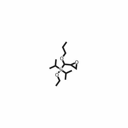 CCCOC(C1CO1)[Si](OCC)(C(C)C)C(C)C